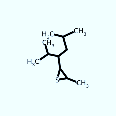 CC(C)CC(C(C)C)C1SC1C